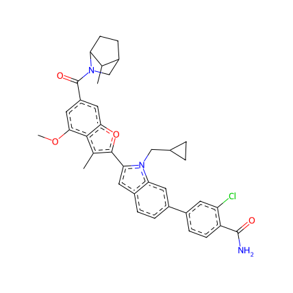 COc1cc(C(=O)N2CC3CCC2C3C)cc2oc(-c3cc4ccc(-c5ccc(C(N)=O)c(Cl)c5)cc4n3CC3CC3)c(C)c12